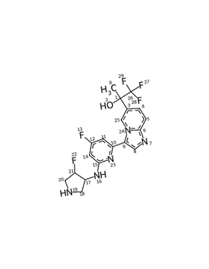 CC(O)(c1ccc2ncc(-c3cc(F)cc(NC4CNCC4F)n3)n2c1)C(F)(F)F